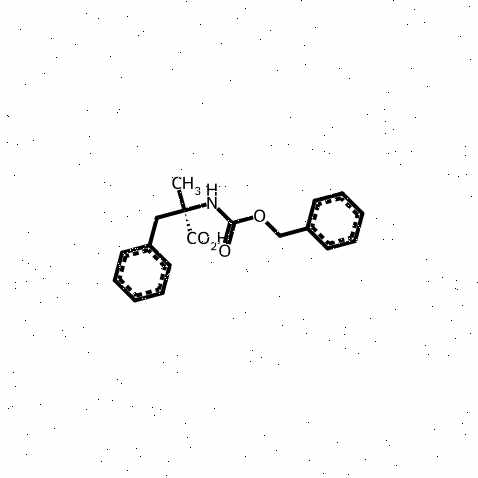 C[C@](Cc1ccccc1)(NC(=O)OCc1ccccc1)C(=O)O